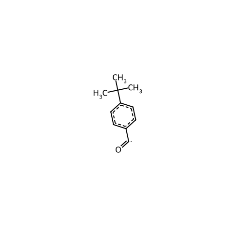 CC(C)(C)c1ccc([C]=O)cc1